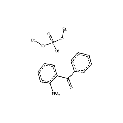 CCOP(=O)(O)OCC.O=C(c1ccccc1)c1ccccc1[N+](=O)[O-]